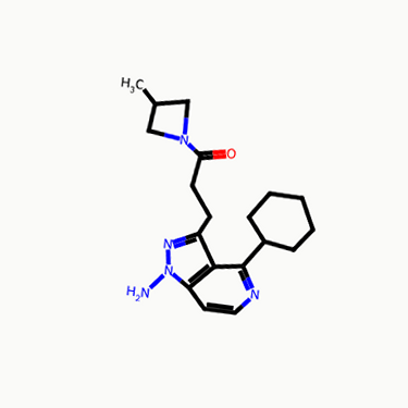 CC1CN(C(=O)CCc2nn(N)c3ccnc(C4CCCCC4)c23)C1